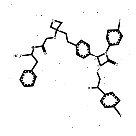 O=C(COC1(CCc2ccc([C@@H]3[C@@H](CCC(O)c4ccc(F)cc4)C(=O)N3c3ccc(F)cc3)cc2)COC1)NC(Cc1ccccc1)C(=O)O